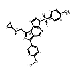 COc1ccc(-c2nc(CNC3CC3)n3c2cnc2c3ccn2S(=O)(=O)c2ccc(C)cc2)cc1